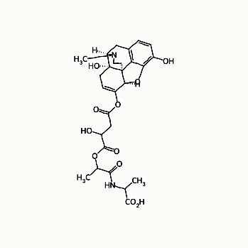 CC(NC(=O)C(C)OC(=O)C(O)CC(=O)OC1=CC[C@@]2(O)[C@H]3Cc4ccc(O)c5c4[C@@]2(CCN3C)[C@H]1O5)C(=O)O